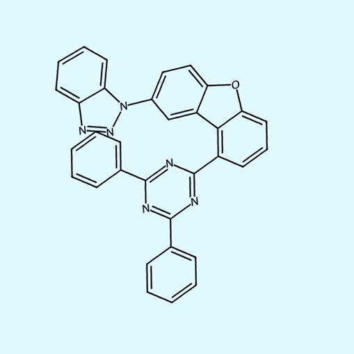 c1ccc(-c2nc(-c3ccccc3)nc(-c3cccc4oc5ccc(-n6nnc7ccccc76)cc5c34)n2)cc1